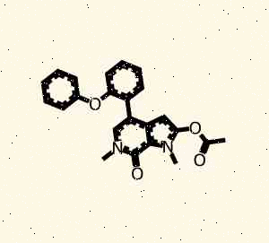 CC(=O)Oc1cc2c(-c3ccccc3Oc3ccccc3)cn(C)c(=O)c2n1C